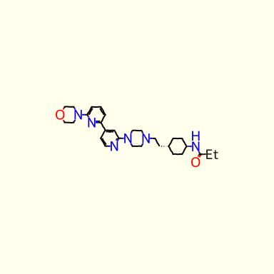 CCC(=O)N[C@H]1CC[C@H](CCN2CCN(c3cc(-c4cccc(N5CCOCC5)n4)ccn3)CC2)CC1